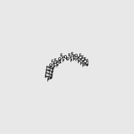 FC(F)(OOC(F)(F)C(F)(F)OC(F)(F)C(F)(F)C(F)(F)C(F)(F)F)OOC(F)(F)C(F)(F)OC(F)(F)C(F)(F)C(F)(F)C(F)(F)F